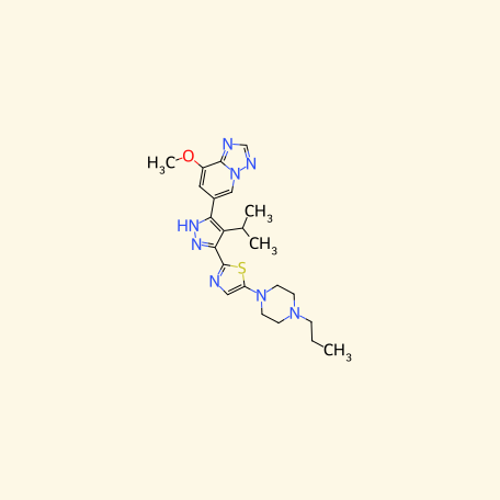 CCCN1CCN(c2cnc(-c3n[nH]c(-c4cc(OC)c5ncnn5c4)c3C(C)C)s2)CC1